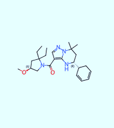 CCC1(CC)C[C@H](OC)CN1C(=O)c1cnn2c1N[C@@H](C1C=CC=CC1)CC2(C)C